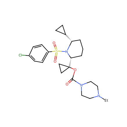 CCN1CCN(C(=O)OC2([C@H]3CCC[C@@H](C4CC4)N3S(=O)(=O)c3ccc(Cl)cc3)CC2)CC1